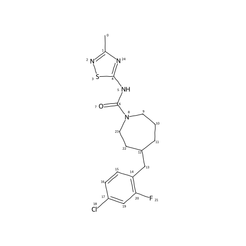 Cc1nsc(NC(=O)N2CCCC(Cc3ccc(Cl)cc3F)CC2)n1